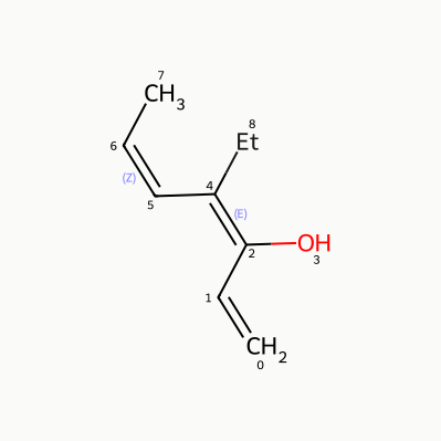 C=C/C(O)=C(\C=C/C)CC